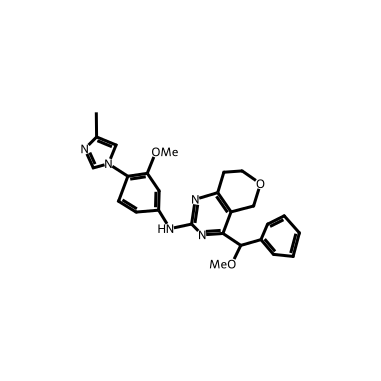 COc1cc(Nc2nc3c(c(C(OC)c4ccccc4)n2)COCC3)ccc1-n1cnc(C)c1